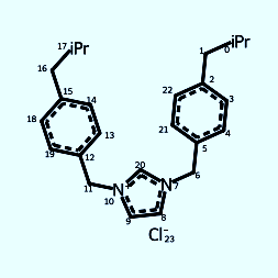 CC(C)Cc1ccc(Cn2cc[n+](Cc3ccc(CC(C)C)cc3)c2)cc1.[Cl-]